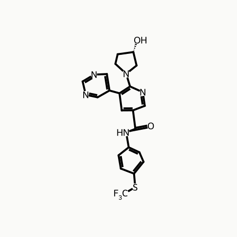 O=C(Nc1ccc(SC(F)(F)F)cc1)c1cnc(N2CC[C@H](O)C2)c(-c2cncnc2)c1